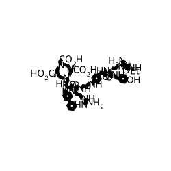 CCNC(=O)/N=C(/N)NCCC[C@@H](NC(=O)Cc1ccc(NCCCNC(=O)C(CCCNC(=N)N)NC(=O)[C@@H](Cc2ccc(-c3ccccc3)cc2)NCN2CCN(CC(=O)O)CCN(CC(=O)O)CCN(CC(=O)O)CC2)cc1)C(=O)NCc1ccc(O)cc1